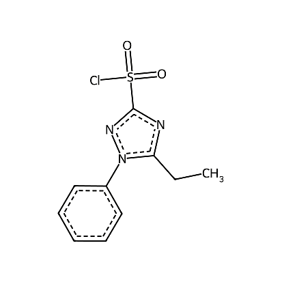 CCc1nc(S(=O)(=O)Cl)nn1-c1ccccc1